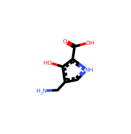 NCc1c[nH]c(C(=O)O)c1O